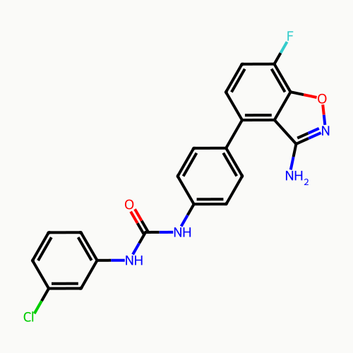 Nc1noc2c(F)ccc(-c3ccc(NC(=O)Nc4cccc(Cl)c4)cc3)c12